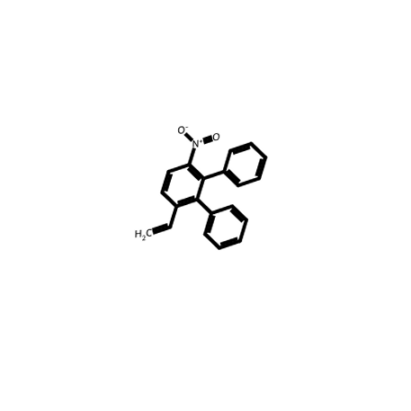 C=Cc1ccc([N+](=O)[O-])c(-c2ccccc2)c1-c1ccccc1